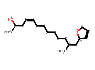 CCCCCC[C@@H](O)C/C=C\CCCCCCC(CC1C=CCO1)C(=O)O